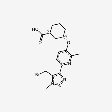 Cc1nc(-c2nnn(C)c2CBr)ccc1O[C@H]1CCC[C@H](C(=O)O)C1